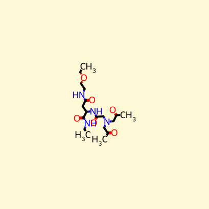 CCNC(=O)C(CC(=O)NCCOCC)NC(=O)CN(CC(C)=O)CC(C)=O